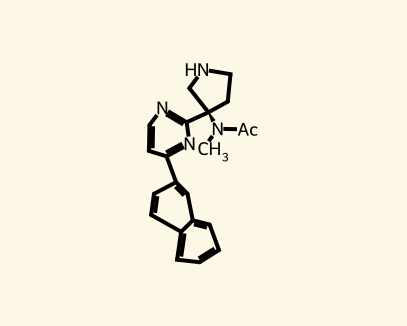 CC(=O)N(C)[C@]1(c2nccc(-c3ccc4ccccc4c3)n2)CCNC1